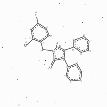 O=c1c(-c2ccccc2)c(-c2ccccc2)[nH]n1Cc1ccc(F)cc1Cl